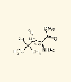 [2H][13C@H]([C@H]([15NH]C(C)=O)C(=O)OC)C([2H])(C)[13CH3]